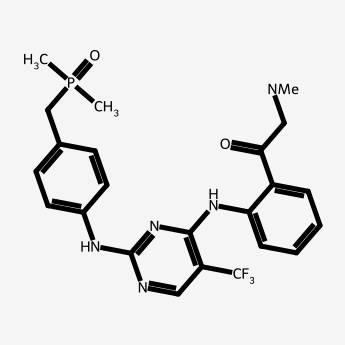 CNCC(=O)c1ccccc1Nc1nc(Nc2ccc(CP(C)(C)=O)cc2)ncc1C(F)(F)F